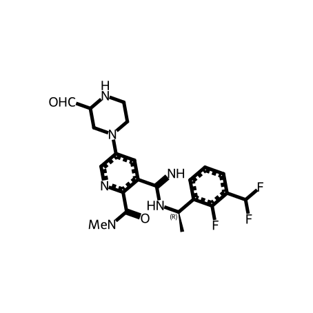 CNC(=O)c1ncc(N2CCNC(C=O)C2)cc1C(=N)N[C@H](C)c1cccc(C(F)F)c1F